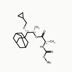 C[C@H](NC(=O)OC(C)(C)C)C(=O)O[C@@H](C)[C@@H](OCC1CC1)C12CC3CC(CC(C3)C1)C2